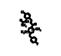 C[C@@H]1CN(Cc2ccc(F)cc2)[C@@H](C)CN1C(=O)C=Cc1ccc(Cl)cc1NC(N)=O